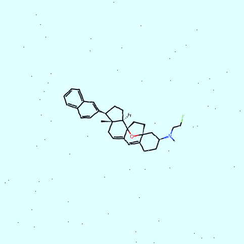 CN(CCF)[C@H]1CCC2=CC3=CC[C@]4(C)[C@@H](c5ccc6ccccc6c5)CC[C@H]4[C@@]34CC[C@]2(C1)O4